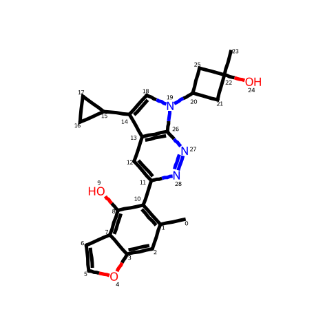 Cc1cc2occc2c(O)c1-c1cc2c(C3CC3)cn(C3CC(C)(O)C3)c2nn1